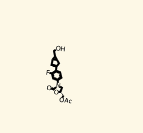 CC(=O)OC[C@H]1CN(c2ccc(C3=CC4C(CO)C4C3)c(F)c2)C(=O)O1